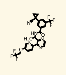 CC(NC(=O)c1cc(C(F)(F)F)cc(C2(C#N)CC2)c1)c1nccnc1-c1ccc(OCC(F)(F)F)cn1